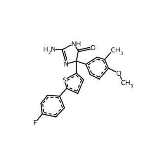 COc1ccc(C2(c3ccc(-c4ccc(F)cc4)s3)N=C(N)NC2=O)cc1C